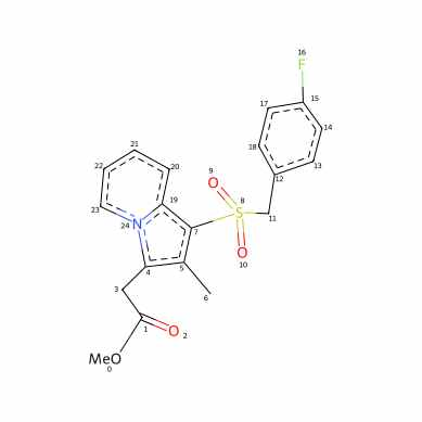 COC(=O)Cc1c(C)c(S(=O)(=O)Cc2ccc(F)cc2)c2ccccn12